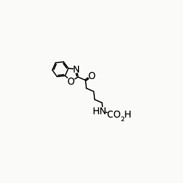 O=C(O)NCCCCC(=O)c1nc2ccccc2o1